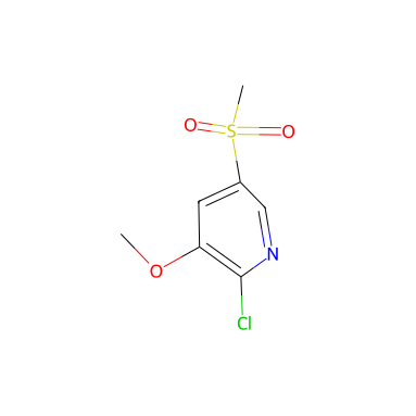 COc1cc(S(C)(=O)=O)cnc1Cl